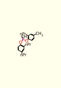 CCCc1ccc(OP(C)Oc2ccc(C)cc2CCC)c(CCC)c1